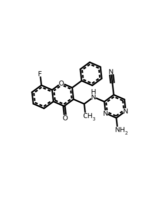 CC(Nc1nc(N)ncc1C#N)c1c(-c2ccccc2)oc2c(F)cccc2c1=O